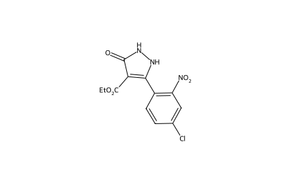 CCOC(=O)c1c(-c2ccc(Cl)cc2[N+](=O)[O-])[nH][nH]c1=O